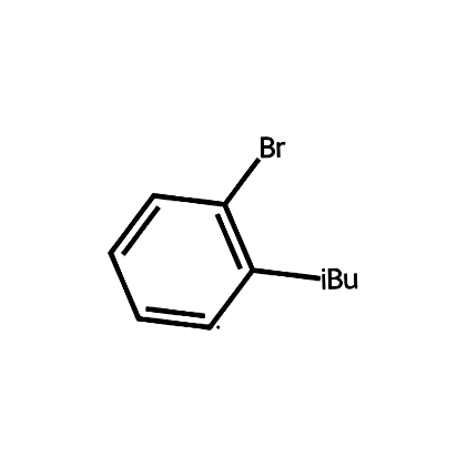 CCC(C)c1[c]cccc1Br